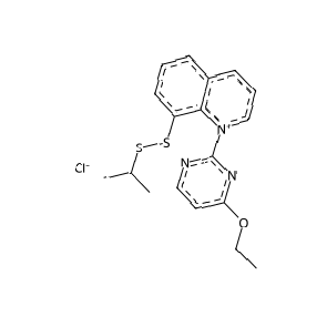 CCOc1ccnc(-[n+]2cccc3cccc(SSC(C)C)c32)n1.[Cl-]